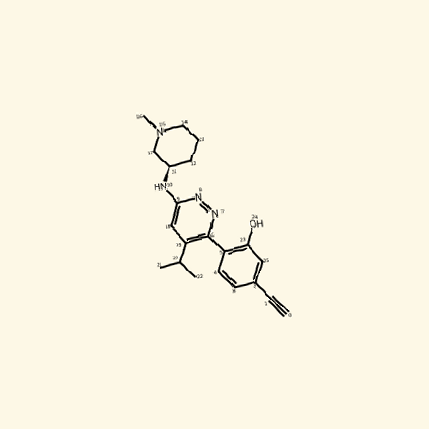 C#Cc1ccc(-c2nnc(N[C@@H]3CCCN(C)C3)cc2C(C)C)c(O)c1